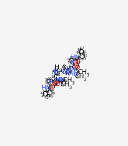 CN[C@@H](C)C(=O)NC(Cc1nnn(CCn2cc(C[C@H](NC(=O)[C@H](C)NC)C(=O)N3CCC[C@H]3C(=O)N[C@@H]3CCCc4ccccc43)nn2)c1C)C(=O)N1CCC[C@H]1C(=O)N[C@@H]1CCCc2ccccc21